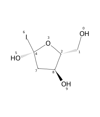 OC[C@H]1O[C@](O)(I)C[C@@H]1O